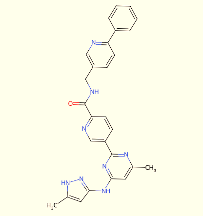 Cc1cc(Nc2cc(C)[nH]n2)nc(-c2ccc(C(=O)NCc3ccc(-c4ccccc4)nc3)nc2)n1